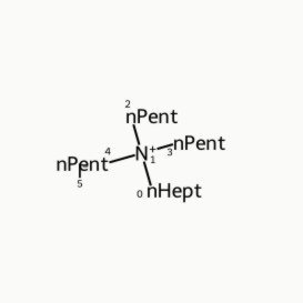 CCCCCCC[N+](CCCCC)(CCCCC)CCCCC.[I-]